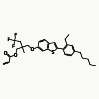 C=CC(=O)OCC(C)(COc1ccc2cc(-c3ccc(CCCCC)cc3CC)sc2c1)CC(F)(F)F